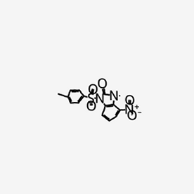 Cc1ccc(S(=O)(=O)N2C(=O)[N]c3c2cccc3[N+](=O)[O-])cc1